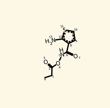 CCC(=O)ONC(=O)c1ccsc1N